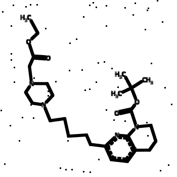 CCOC(=O)CN1CCN(CCCCCc2ccc3c(n2)N(C(=O)OC(C)(C)C)CCC3)CC1